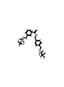 C=C(OCc1ccc(CO[Si](C)(C)C(C)(C)C)cc1)c1cccc(CO[Si](C)(C)C(C)(C)C)c1